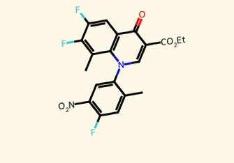 CCOC(=O)c1cn(-c2cc([N+](=O)[O-])c(F)cc2C)c2c(C)c(F)c(F)cc2c1=O